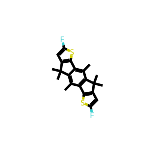 Cc1c2c(c(C)c3c1C(C)(C)c1cc(F)sc1-3)C(C)(C)c1cc(F)sc1-2